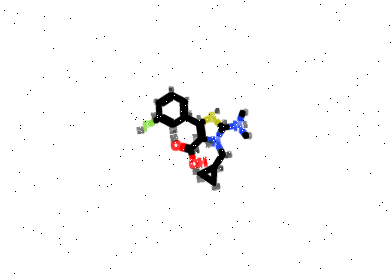 CN(C)C1SC(c2cccc(F)c2)=C(C(=O)O)N1CC1CC1